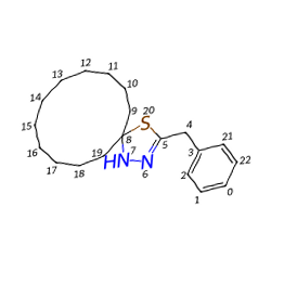 c1ccc(CC2=NNC3(CCCCCCCCCCC3)S2)cc1